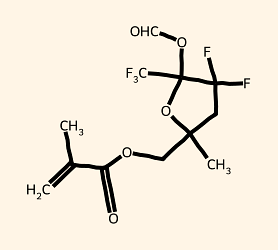 C=C(C)C(=O)OCC1(C)CC(F)(F)C(OC=O)(C(F)(F)F)O1